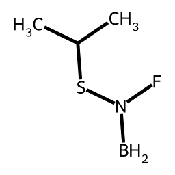 BN(F)SC(C)C